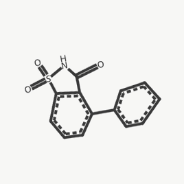 O=C1NS(=O)(=O)c2cccc(-c3ccccc3)c21